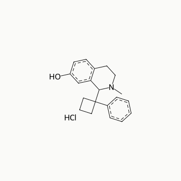 CN1CCc2ccc(O)cc2C1C1(c2ccccc2)CCC1.Cl